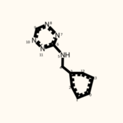 c1ccc(CNc2nncnn2)cc1